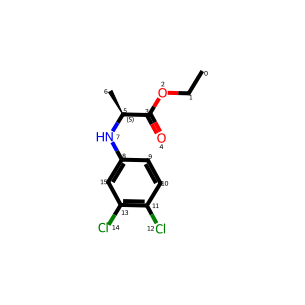 CCOC(=O)[C@H](C)Nc1ccc(Cl)c(Cl)c1